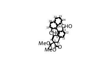 COC(=O)C1(C(=O)OC)C=Cc2c(ccc(C=O)c2-c2c(C=O)ccc3ccccc23)C1